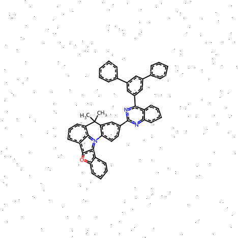 CC1(C)c2cc(-c3nc(-c4cc(-c5ccccc5)cc(-c5ccccc5)c4)c4ccccc4n3)ccc2-n2c3c1cccc3c1oc3ccccc3c12